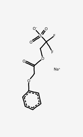 O=C(COc1ccccc1)OCC(F)(F)S(=O)(=O)[O-].[Na+]